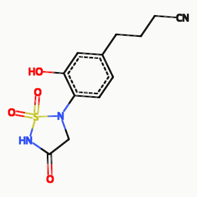 N#CCCCc1ccc(N2CC(=O)NS2(=O)=O)c(O)c1